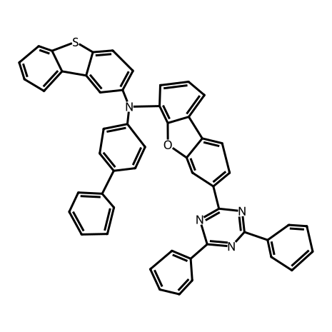 c1ccc(-c2ccc(N(c3ccc4sc5ccccc5c4c3)c3cccc4c3oc3cc(-c5nc(-c6ccccc6)nc(-c6ccccc6)n5)ccc34)cc2)cc1